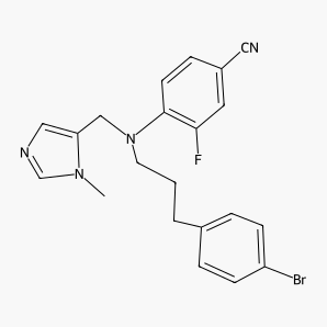 Cn1cncc1CN(CCCc1ccc(Br)cc1)c1ccc(C#N)cc1F